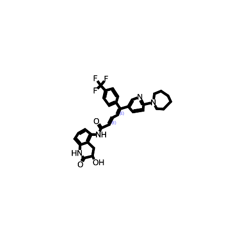 O=C(/C=C/C=C(\c1ccc(C(F)(F)F)cc1)c1ccc(N2CCCCCC2)nc1)Nc1cccc2c1CC(O)C(=O)N2